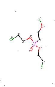 O=P(CCOCl)(OCCCl)OCCCl